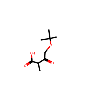 CC(C(=O)O)C(=O)COC(C)(C)C